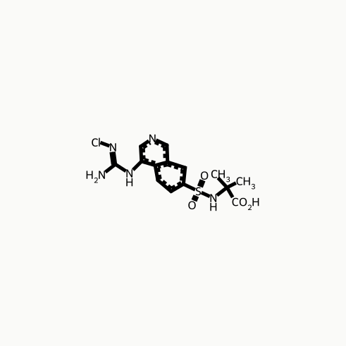 CC(C)(NS(=O)(=O)c1ccc2c(NC(N)=NCl)cncc2c1)C(=O)O